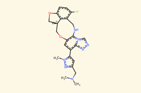 CN(C)Cc1cc(-c2cc3c(n4cnnc24)NCc2c(F)ccc4c2[C@@H](CO4)CO3)n(C)n1